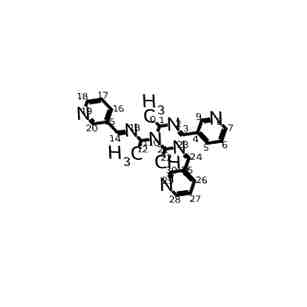 CC(N=Cc1cccnc1)N(C(C)N=Cc1cccnc1)C(C)N=Cc1cccnc1